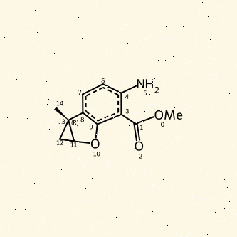 COC(=O)c1c(N)ccc2c1OC1C[C@]21C